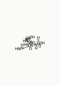 N=CNCCC[C@H](NC(=O)[C@H](CC(=O)O)NN)C(=O)NCC(=O)N[C@@H](CS)C(=O)O